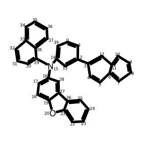 c1cc(-c2ccc3ccccc3c2)cc(N(c2ccc3oc4ccccc4c3c2)c2cccc3ccccc23)c1